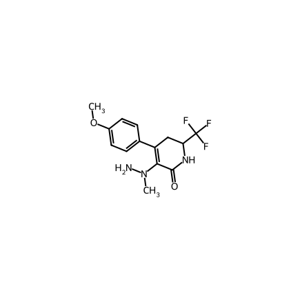 COc1ccc(C2=C(N(C)N)C(=O)NC(C(F)(F)F)C2)cc1